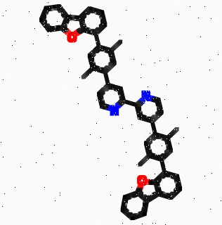 Cc1cc(-c2cccc3c2oc2ccccc23)c(C)cc1-c1ccnc(-c2cc(-c3cc(C)c(-c4cccc5c4oc4ccccc45)cc3C)ccn2)c1